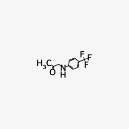 CC(=O)CNc1ccc(C(F)(F)F)cc1